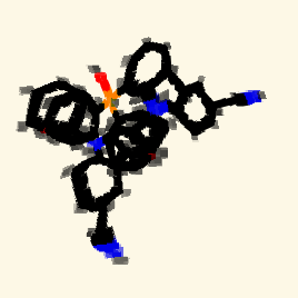 N#Cc1ccc2c(c1)c1cccc(P(=O)(c3ccccc3)c3cccc4c5cc(C#N)ccc5n(-c5ccccc5)c34)c1n2-c1ccccc1